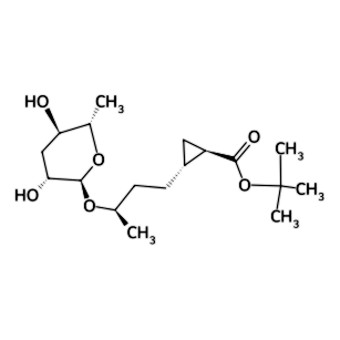 C[C@H](CC[C@@H]1C[C@H]1C(=O)OC(C)(C)C)O[C@@H]1O[C@@H](C)[C@H](O)C[C@H]1O